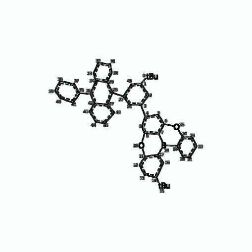 CC(C)(C)c1cc(-c2cc3c4c(c2)Oc2ccc(C(C)(C)C)cc2B4c2ccccc2O3)cc(-c2c3ccccc3c(-c3ccccc3)c3ccccc23)c1